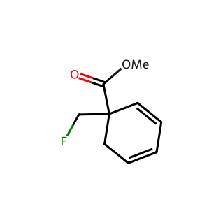 COC(=O)C1(CF)C=CC=CC1